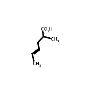 C/C=C/CC(C)C(=O)O